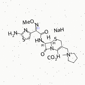 CO/N=C(/C(=O)N[C@@H]1C(=O)N2C(C(=O)O)=C(C[N+]3(C)CCCC3)CS[C@H]12)c1csc(N)n1.[NaH]